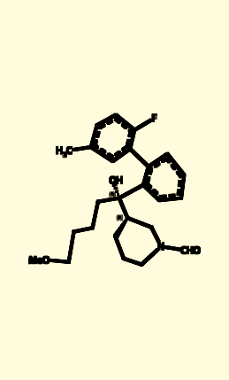 COCCCC[C@@](O)(c1ccccc1-c1cc(C)ccc1F)[C@@H]1CCCN(C=O)C1